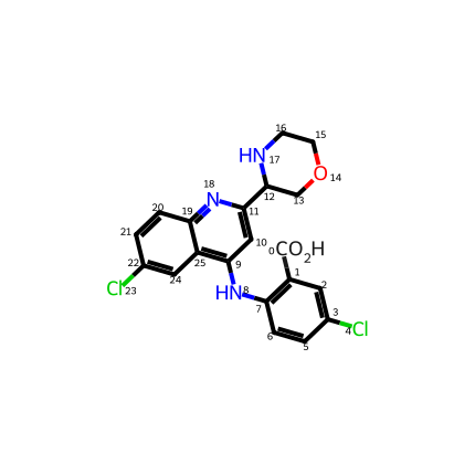 O=C(O)c1cc(Cl)ccc1Nc1cc(C2COCCN2)nc2ccc(Cl)cc12